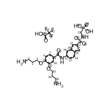 NCCCOc1ccc(C(=O)Nc2ccc3sc(S(=O)(=O)NCP(=O)(O)O)cc3c2)cc1OCCCN.O=C(O)C(F)(F)F